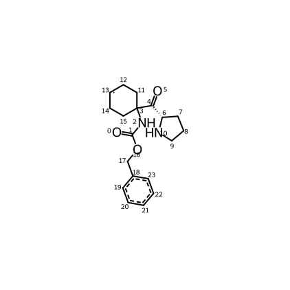 O=C(NC1(C(=O)[C@@H]2CCCN2)CC[CH]CC1)OCc1ccccc1